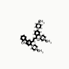 COc1ccccc1-c1ccc(N2CCN(C)CC2)c(C=CC(=O)c2ccc(N3CCN(C)CC3)cc2N2CCN(C)CC2)c1